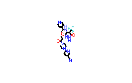 N#Cc1ccc(N2CCN(C(=O)CCOC[C@H](Nc3cn[nH]c(=O)c3C(F)(F)F)c3ccncc3)CC2)nc1